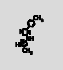 Cc1ccc(-c2cncc(Nc3cc(C)[nH]n3)n2)cc1